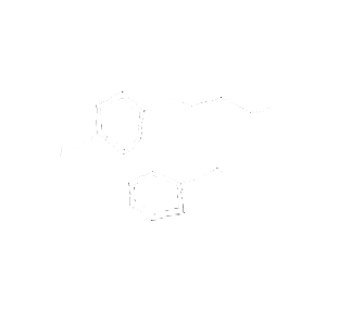 CCCCSc1ccc(Br)cc1.SCc1ccccc1